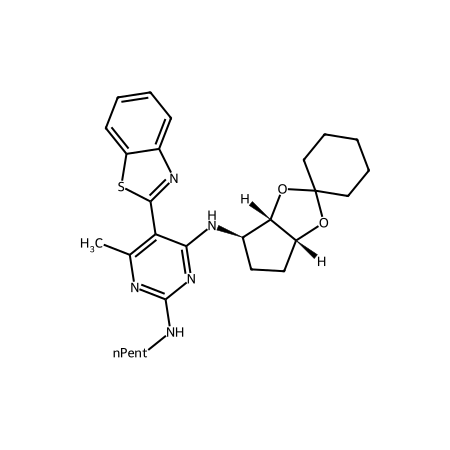 CCCCCNc1nc(C)c(-c2nc3ccccc3s2)c(N[C@@H]2CC[C@H]3OC4(CCCCC4)O[C@@H]23)n1